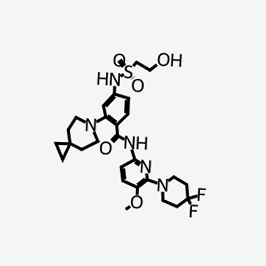 COc1ccc(NC(=O)c2ccc(NS(=O)(=O)CCO)cc2N2CCC3(CC2)CC3)nc1N1CCC(F)(F)CC1